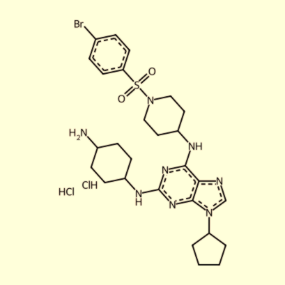 Cl.Cl.NC1CCC(Nc2nc(NC3CCN(S(=O)(=O)c4ccc(Br)cc4)CC3)c3ncn(C4CCCC4)c3n2)CC1